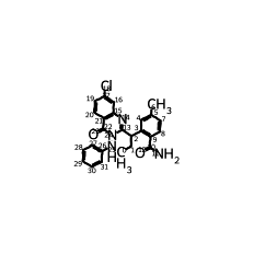 CCC(c1cc(C)ccc1C(N)=O)c1nc2cc(Cl)ccc2c(=O)n1Nc1ccccc1